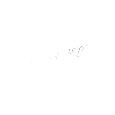 NN(CCCCCC(=O)NCCOCCOCCCCCCCl)C(=O)c1ccc(C(=O)O)c(-c2c3ccc(=O)cc-3oc3cc(O)ccc23)c1